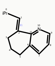 CC(C)/C=C1\CCCc2cccnc21